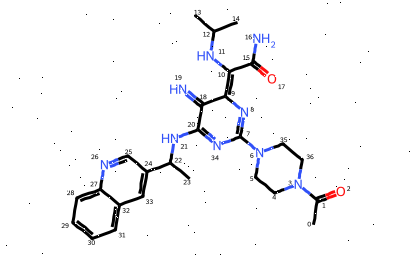 CC(=O)N1CCN(C2=N/C(=C(/NC(C)C)C(N)=O)C(=N)C(NC(C)c3cnc4ccccc4c3)=N2)CC1